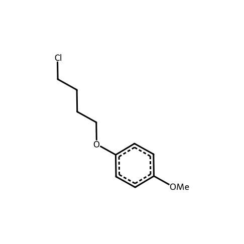 COc1ccc(OCCCCCl)cc1